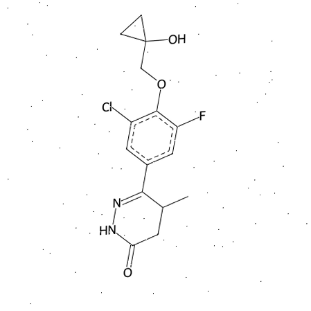 CC1CC(=O)NN=C1c1cc(F)c(OCC2(O)CC2)c(Cl)c1